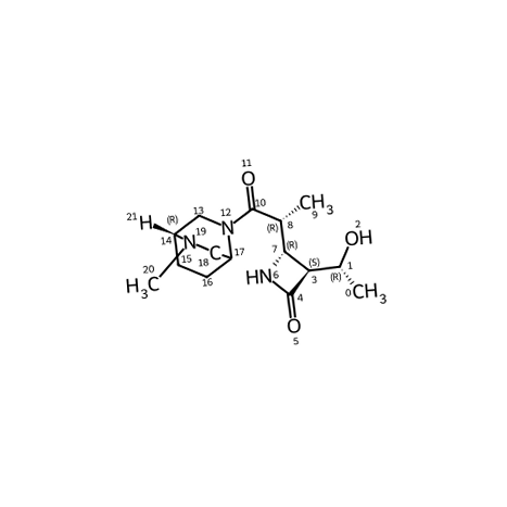 C[C@@H](O)[C@H]1C(=O)N[C@@H]1[C@@H](C)C(=O)N1C[C@H]2CCC1CN2C